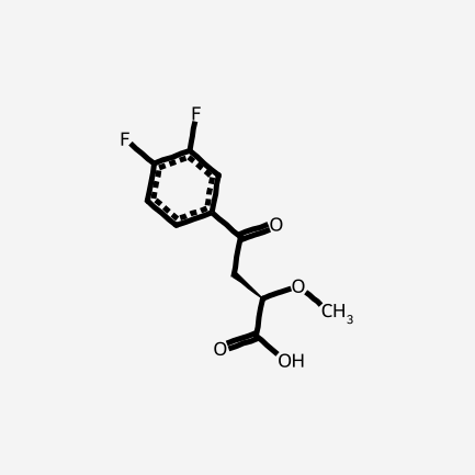 CO[C@H](CC(=O)c1ccc(F)c(F)c1)C(=O)O